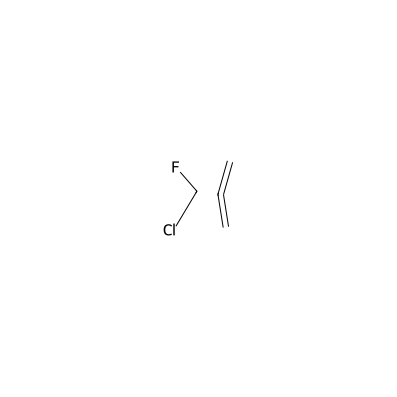 C=C=C.FCCl